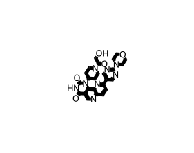 O=C(CO)N1CCC(n2c(=O)[nH]c(=O)c3cnc4ccc(-c5cnc(N6CCOCC6)nc5)nc4c32)CC1